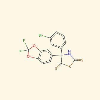 FC1(F)Oc2ccc(C3(c4cccc(Br)c4)NC(=S)SC3=S)cc2O1